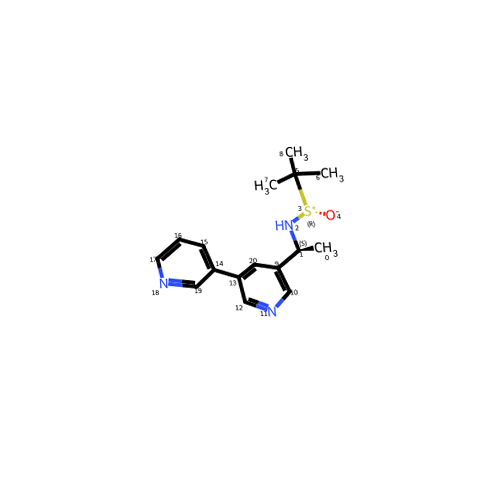 C[C@H](N[S@@+]([O-])C(C)(C)C)c1cncc(-c2cccnc2)c1